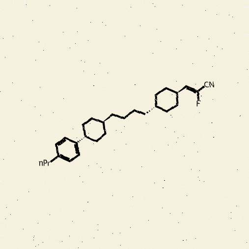 CCCc1ccc([C@H]2CC[C@H](CCCC[C@H]3CC[C@H](C=C(F)C#N)CC3)CC2)cc1